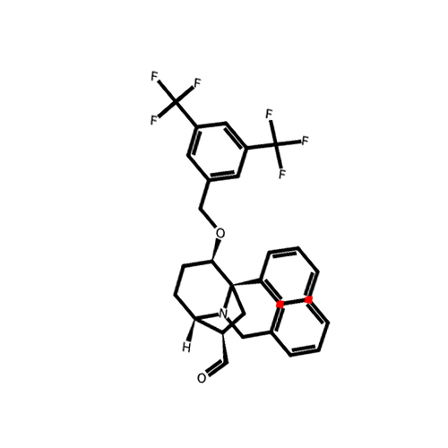 O=C[C@@H]1C[C@@]2(c3ccccc3)[C@H](OCc3cc(C(F)(F)F)cc(C(F)(F)F)c3)CC[C@@H]1N2Cc1ccccc1